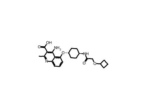 Cc1nc2cccc(O[C@H]3CC[C@H](NC(=O)COC4CCC4)CC3)c2c(N)c1C(=O)O